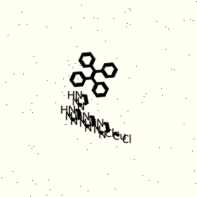 [Cl][Cu][Cl].c1c[nH]nn1.c1c[nH]nn1.c1c[nH]nn1.c1c[nH]nn1.c1ccc(C(=C(c2ccccc2)c2ccccc2)c2ccccc2)cc1